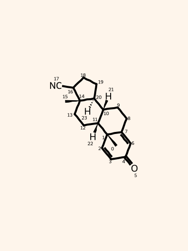 C[C@]12C=CC(=O)C=C1CC[C@@H]1[C@H]2CC[C@]2(C)C(C#N)CC[C@@H]12